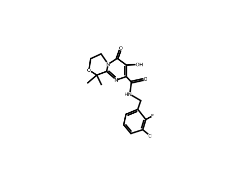 CC1(C)OCCn2c1nc(C(=O)NCc1cccc(Cl)c1F)c(O)c2=O